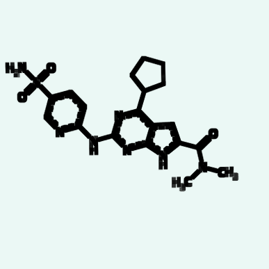 CN(C)C(=O)c1cc2c(C3CCCC3)nc(Nc3ccc(S(N)(=O)=O)cn3)nc2[nH]1